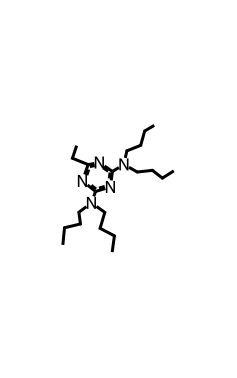 CCCCN(CCCC)c1nc(CC)nc(N(CCCC)CCCC)n1